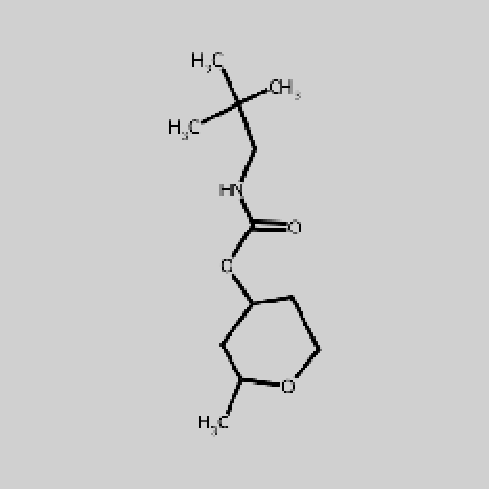 CC1CC(OC(=O)NCC(C)(C)C)CCO1